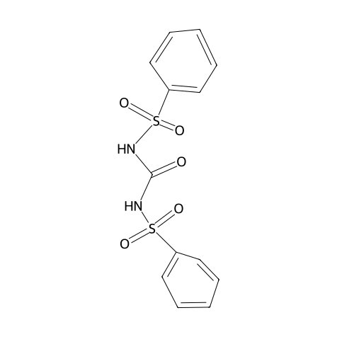 O=C(NS(=O)(=O)c1ccccc1)NS(=O)(=O)c1ccccc1